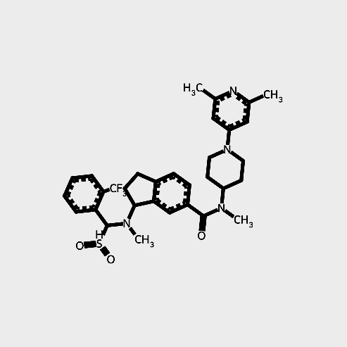 Cc1cc(N2CCC(N(C)C(=O)c3ccc4c(c3)C(N(C)C(c3ccccc3C(F)(F)F)[SH](=O)=O)CC4)CC2)cc(C)n1